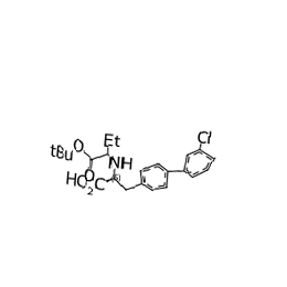 CCC(N[C@@H](Cc1ccc(-c2cccc(Cl)c2)cc1)C(=O)O)C(=O)OC(C)(C)C